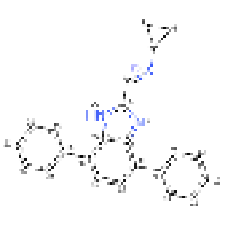 C(=N\C1CC1)/c1nc2c(-c3ccccc3)ccc(-c3ccccc3)c2[nH]1